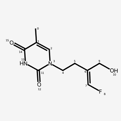 Cc1cn(CCC(=CF)CO)c(=O)[nH]c1=O